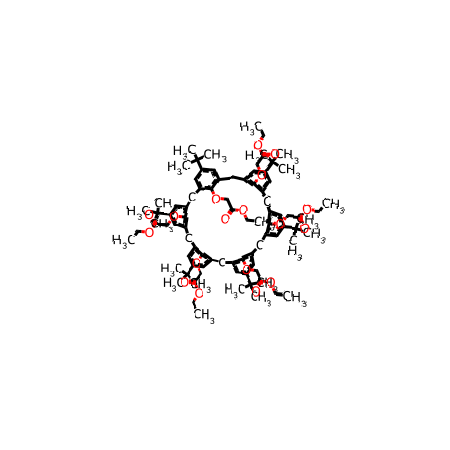 CCOC(=O)COc1c2cc(C(C)(C)C)cc1Cc1cc(C(C)(C)C)cc(c1OCC(=O)OCC)Cc1cc(C(C)(C)C)cc(c1OCC(=O)OCC)Cc1cc(C(C)(C)C)cc(c1OCC(=O)OCC)Cc1cc(C(C)(C)C)cc(c1OCC(=O)OCC)Cc1cc(C(C)(C)C)cc(c1OCC(=O)OCC)C2